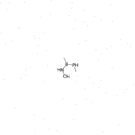 CPB(C)NO